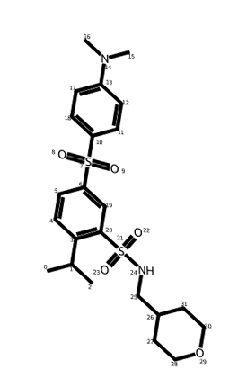 CC(C)c1ccc(S(=O)(=O)c2ccc(N(C)C)cc2)cc1S(=O)(=O)NCC1CCOCC1